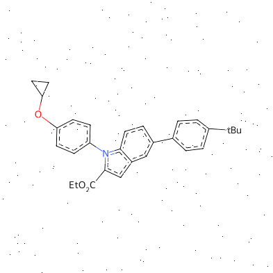 CCOC(=O)c1cc2cc(-c3ccc(C(C)(C)C)cc3)ccc2n1-c1ccc(OC2CC2)cc1